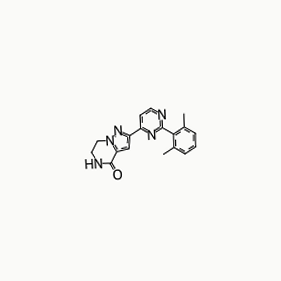 Cc1cccc(C)c1-c1nccc(-c2cc3n(n2)CCNC3=O)n1